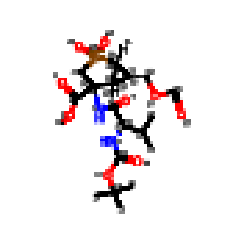 COC(=O)[C@]1(NC(=O)[C@@H](NC(=O)OC(C)(C)C)C(C)C)CS(=O)(=O)[C@H]2[C@H](COC=O)[C@H]21